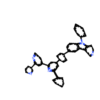 c1ccc(-c2cc(-c3ccc(-c4ccc5c(c4)c4cnccc4n5-c4ccccc4)cc3)cc(-c3ccnc(-c4cccnc4)c3)n2)cc1